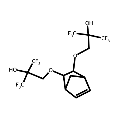 OC(COC1C2C=CC(C2)C1OCC(O)(C(F)(F)F)C(F)(F)F)(C(F)(F)F)C(F)(F)F